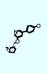 COc1ccc(-c2cncc(OC[C@@H]3CCCN3C)c2)cc1